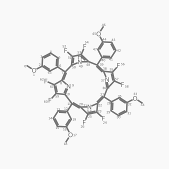 COc1cccc(-c2c3nc(c(-c4cccc(OC)c4)c4[nH]c(c(F)c4F)c(-c4cccc(OC)c4)c4nc(c(-c5cccc(OC)c5)c5[nH]c2c(F)c5F)C(F)=C4F)C(F)=C3F)c1